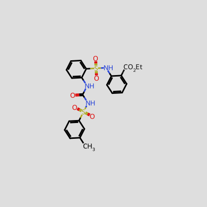 CCOC(=O)c1ccccc1NS(=O)(=O)c1ccccc1NC(=O)NS(=O)(=O)c1cccc(C)c1